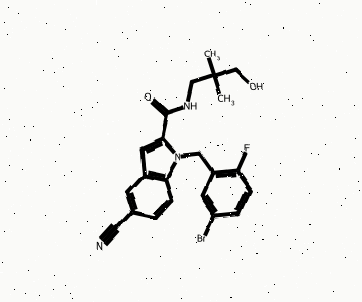 CC(C)(CO)CNC(=O)c1cc2cc(C#N)ccc2n1Cc1cc(Br)ccc1F